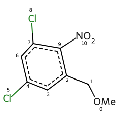 COCc1cc(Cl)cc(Cl)c1[N+](=O)[O-]